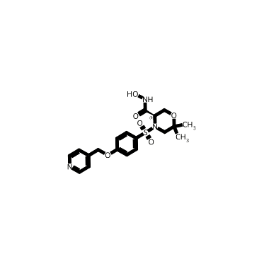 CC1(C)CN(S(=O)(=O)c2ccc(OCc3ccncc3)cc2)[C@@H](C(=O)NO)CO1